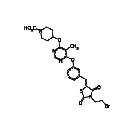 Cc1c(Oc2cccc(/C=C3\SC(=O)N(CCBr)C3=O)c2)ncnc1OC1CCN(C(=O)O)CC1